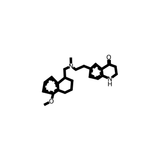 COc1cccc2c1CCCC2CN(C)CCc1ccc2c(c1)C(=O)CCN2